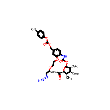 COC(=O)[C@H]1O[C@@H](OC(=O)Nc2ccc(COC(=O)Oc3ccc(N=O)cc3)cc2OCCOCCN=[N+]=[N-])[C@H](OC(C)=O)[C@@H](OC(C)=O)[C@@H]1C